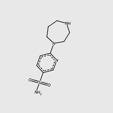 NS(=O)(=O)c1ccc(N2CCCNCC2)nc1